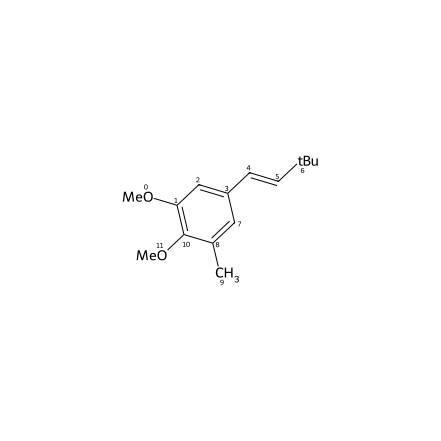 COc1cc(/C=C/C(C)(C)C)cc(C)c1OC